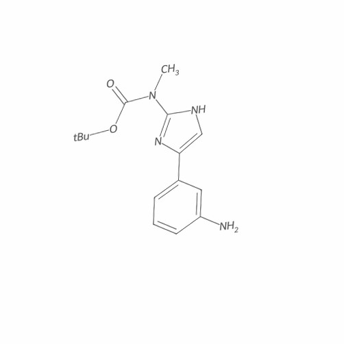 CN(C(=O)OC(C)(C)C)c1nc(-c2cccc(N)c2)c[nH]1